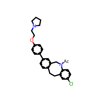 CC(=O)N1Cc2cc(-c3ccc(OCCN4CCCC4)cc3)ccc2CCc2cc(Cl)ccc21